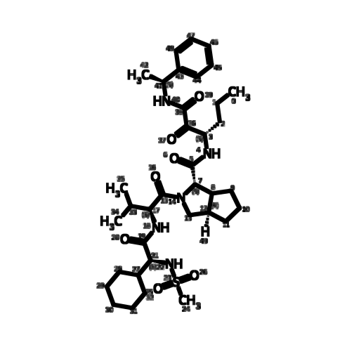 CCC[C@H](NC(=O)[C@@H]1C2CCC[C@H]2CN1C(=O)[C@@H](NC(=O)[C@@H](NS(C)(=O)=O)C1CCCCC1)C(C)C)C(=O)C(=O)N[C@@H](C)c1ccccc1